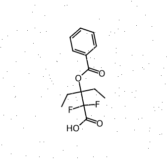 CCC(CC)(OC(=O)c1ccccc1)C(F)(F)C(=O)O